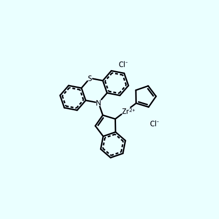 C1=CC[C]([Zr+2][CH]2C(N3c4ccccc4Sc4ccccc43)=Cc3ccccc32)=C1.[Cl-].[Cl-]